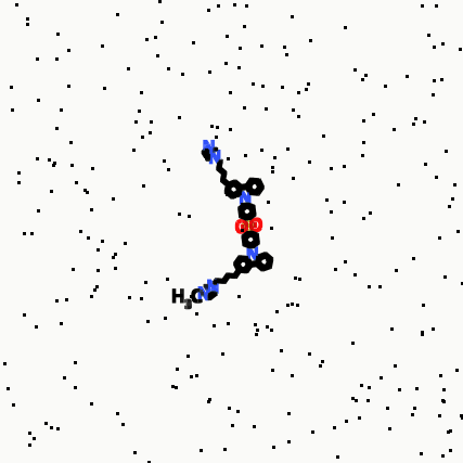 C[n+]1ccn(CCCCc2ccc3c(c2)c2ccccc2n3-c2ccc(S(=O)(=O)c3ccc(-n4c5ccccc5c5cc(CCCCn6ccnc6)ccc54)cc3)cc2)c1